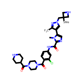 CSC1(Cn2cc(-c3cnc(C(=O)Nc4ccc(C(=O)N5CCN(C(=O)C6CCNCC6)CC5)c(Cl)c4)n3C)c(C(F)(F)F)n2)CNC1